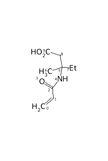 C=CC(=O)NC(C)(CC)CC(=O)O